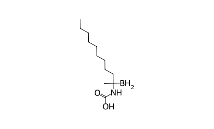 BC(C)(CCCCCCCCC)NC(=O)O